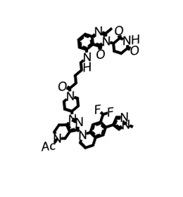 CC(=O)N1CCc2c(c(N3CCCc4cc(-c5cnn(C)c5)c(C(F)F)cc43)nn2C2CCN(C(=O)CCCCNc3cccc4nc(C)n(C5CCC(=O)NC5=O)c(=O)c34)CC2)C1